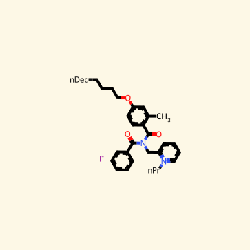 CCCCCCCCCCCCCCOc1ccc(C(=O)N(Cc2cccc[n+]2CCC)C(=O)c2ccccc2)c(C)c1.[I-]